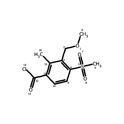 COCc1c(S(C)(=O)=O)ccc(C(=O)Cl)c1C